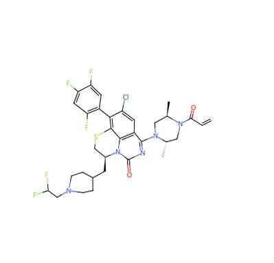 C=CC(=O)N1C[C@H](C)N(c2nc(=O)n3c4c(c(-c5cc(F)c(F)cc5F)c(Cl)cc24)SC[C@@H]3CC2CCN(CC(F)F)CC2)C[C@H]1C